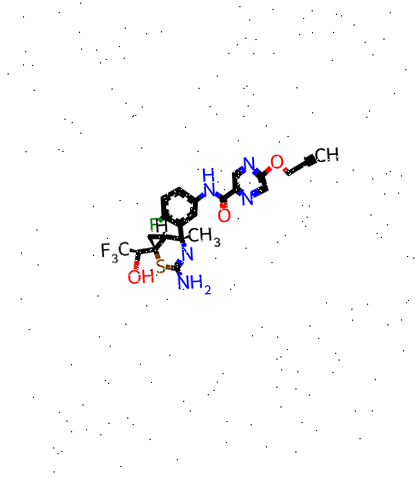 C#CCOc1cnc(C(=O)Nc2ccc(F)c([C@@]3(C)N=C(N)S[C@@]4([C@@H](O)C(F)(F)F)C[C@H]43)c2)cn1